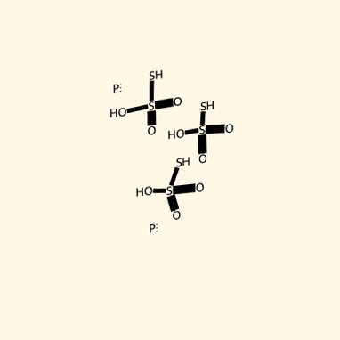 O=S(=O)(O)S.O=S(=O)(O)S.O=S(=O)(O)S.[P].[P]